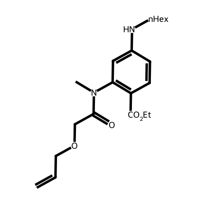 C=CCOCC(=O)N(C)c1cc(NCCCCCC)ccc1C(=O)OCC